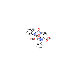 CC(C)(C)NC(=O)[C@@H]1C[C@@H]2CCCC[C@@H]2CN1C[C@@H](O)[C@H](Cc1ccccc1)NC(=O)C1CCCS(=O)(=O)C1